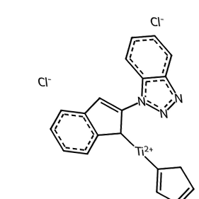 C1=CC[C]([Ti+2][CH]2C(n3nnc4ccccc43)=Cc3ccccc32)=C1.[Cl-].[Cl-]